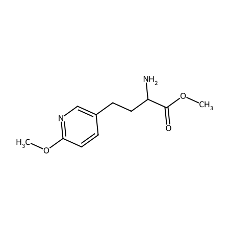 COC(=O)C(N)CCc1ccc(OC)nc1